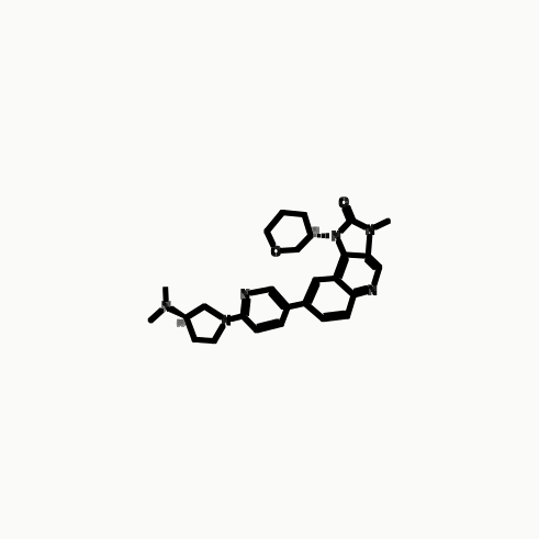 CN(C)[C@@H]1CCN(c2ccc(-c3ccc4ncc5c(c4c3)n([C@H]3CCCOC3)c(=O)n5C)cn2)C1